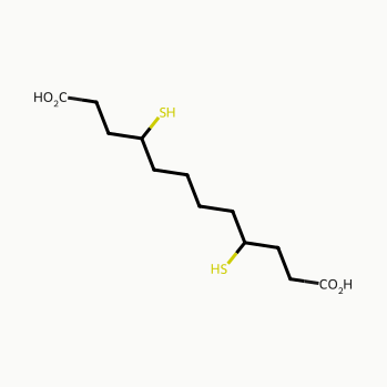 O=C(O)CCC(S)CCCCC(S)CCC(=O)O